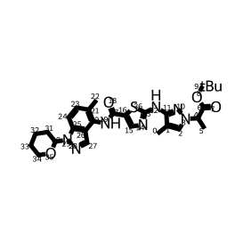 Cc1cn(C(C)C(=O)OC(C)(C)C)nc1Nc1ncc(C(=O)Nc2c(C)ccc3c2cnn3C2CCCCO2)s1